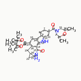 C[C@@H]1CN(C(=O)c2ccc3c(c2)[nH]c2c(C(N)=O)c(CC4CC4)c(B4OC(C)(C)C(C)(C)O4)cc23)C[C@H](C)O1